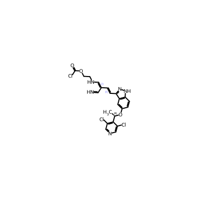 C[C@@H](Oc1ccc2[nH]nc(/C=C/C(C=N)=C/NCCOC(=O)Cl)c2c1)c1c(Cl)cncc1Cl